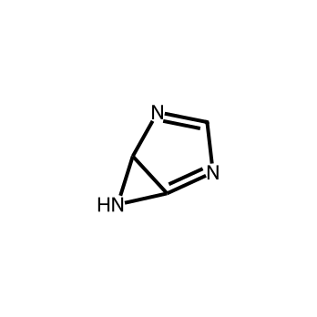 C1=NC2NC2=N1